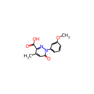 COc1cccc(-n2nc(C(=O)O)c(C)cc2=O)c1